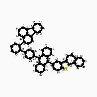 c1ccc(-c2ccc3c4c(cccc24)-c2ccccc2-3)c(-c2ccc(-c3c4ccccc4c(-c4ccc5sc6c7ccccc7ccc6c5c4)c4ccccc34)cc2)c1